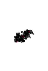 N=C(N)NC(NC(=O)C(NC(=N)N)NC(=O)C(NC(=N)N)NC(=O)C(NC(=N)N)NC(=O)C(NC(=O)C(O)N(Cc1cc([N+](=O)[O-])cc(NOO)c1O)c1ccc2ncccc2c1N)c1ccccc1)C(N)=O